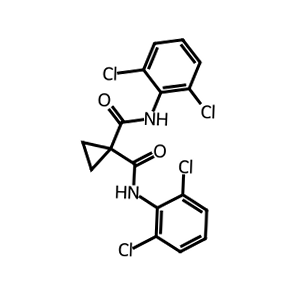 O=C(Nc1c(Cl)cccc1Cl)C1(C(=O)Nc2c(Cl)cccc2Cl)CC1